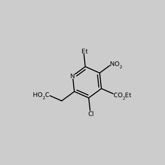 CCOC(=O)c1c(Cl)c(CC(=O)O)nc(CC)c1[N+](=O)[O-]